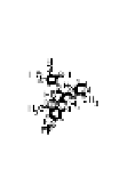 Cc1nc(N[C@H](C)c2cc(Cl)cc(OC(F)(F)F)c2)nc(N[C@@H]2C[C@H](CO)[C@@H](O)[C@H]2O)c1-c1nc2c(C)nccc2s1